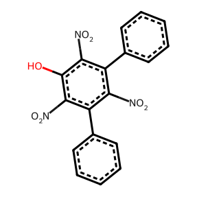 O=[N+]([O-])c1c(O)c([N+](=O)[O-])c(-c2ccccc2)c([N+](=O)[O-])c1-c1ccccc1